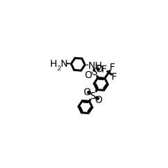 N[C@H]1CC[C@H](NS(=O)(=O)c2cc(S(=O)(=O)c3ccccc3)ccc2C(F)(F)F)CC1